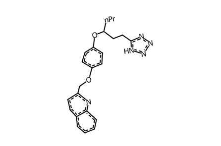 CCCC(CCc1nnn[nH]1)Oc1ccc(OCc2ccc3ccccc3n2)cc1